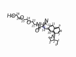 CCC1CCN1c1cccc2ccc(/C=C(\C#N)C(=O)NCCOCCOCCO)cc12